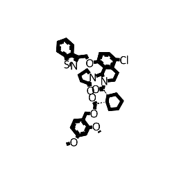 COc1ccc(COC(=O)[C@H]2CCCC[C@H]2C(=O)N2CCc3c(Cl)ccc(OCc4nsc5ccccc45)c3C2N2CCCC2=O)c(OC)c1